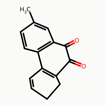 Cc1ccc2c(c1)C(=O)C(=O)C1=C2C=CCC1